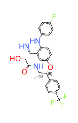 C[C@H](NC(=O)CO)[C@H](Oc1ccc(Nc2ccc(F)cc2)c(C=N)c1)c1ccc(C(F)(F)F)cc1